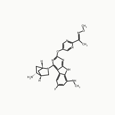 CNc1cc(F)cc2c1[nH]c1nc(Oc3cnc(/C(C)=N/OC)nc3)nc(N3C[C@H]4C[C@@H]3C[C@H]4N)c12